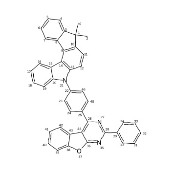 CC1(C)c2ccccc2-c2c1ccc1c2c2ccccc2n1-c1ccc(-c2nc(-c3ccccc3)nc3oc4ccccc4c23)cc1